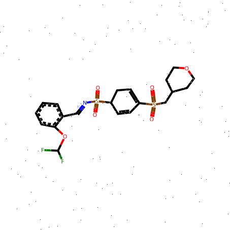 O=S(=O)(CC1CCOCC1)C1=CCC(S(=O)(=O)/N=C/c2ccccc2OC(F)F)C=C1